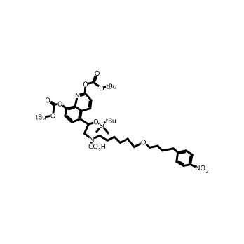 CC(C)(C)OC(=O)Oc1ccc2c(C(CN(CCCCCCOCCCCc3ccc([N+](=O)[O-])cc3)C(=O)O)O[Si](C)(C)C(C)(C)C)ccc(OC(=O)OC(C)(C)C)c2n1